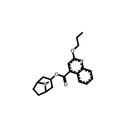 CCCOc1cc(C(=O)OC2CC3CCC(C2)N3C)c2ccccc2n1